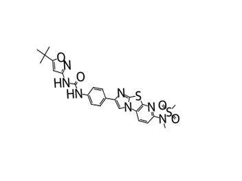 CN(c1ccc2c(n1)sc1nc(-c3ccc(NC(=O)Nc4cc(C(C)(C)C)on4)cc3)cn12)S(C)(=O)=O